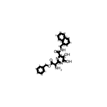 NC(C(=O)OCc1ccccc1)c1nc(O)c(O)c(C(=O)NCc2cccc3ccccc23)n1